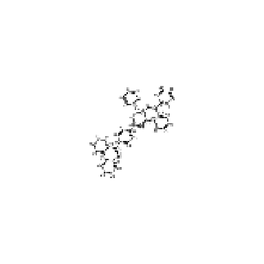 c1ccc(-c2cc3c(-c4ccccc4)cc(-c4ccc(-c5nc6ccccc6c6ccccc56)cc4)nc3c3ccccc23)cc1